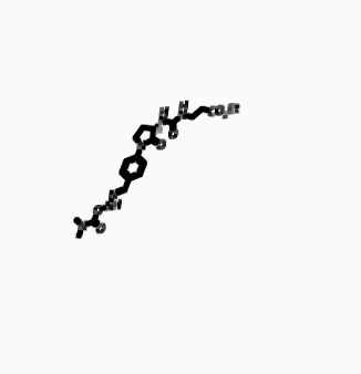 CCOC(=O)CCNC(=O)N[C@H]1CCN(c2ccc(C=NNOC(=O)N(C)C)cc2)C1=O